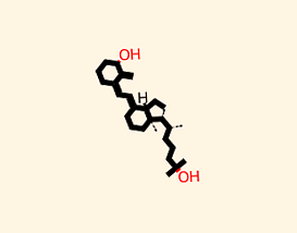 C=C1/C(=C\C=C2/CCC[C@]3(C)[C@@H]([C@H](C)CCCC(C)(C)O)CC[C@@H]23)CCC[C@H]1O